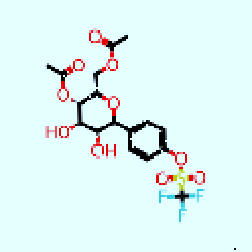 CC(=O)OC[C@H]1OC(c2ccc(OS(=O)(=O)C(F)(F)F)cc2)[C@@H](O)[C@@H](O)[C@@H]1OC(C)=O